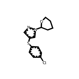 Clc1ccc(Sc2cnn(C3CCCCO3)c2)cc1